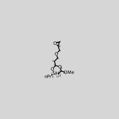 CCC[SiH2]OC(CCOCC1CO1)OC(C)OC